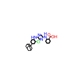 O=C(O)c1ccccc1Nc1cnc(Nc2ccc(C34CC5CC(CC(C5)C3)C4)cc2Cl)cn1